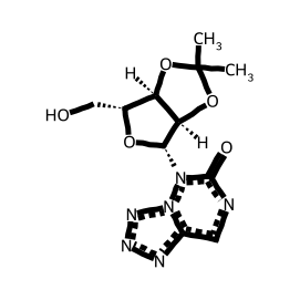 CC1(C)O[C@@H]2[C@H](O1)[C@@H](CO)O[C@H]2n1c(=O)ncc2nnnn21